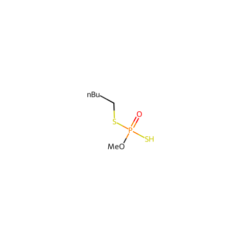 CCCCCSP(=O)(S)OC